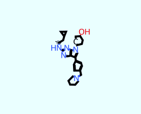 C[C@H](CC1CC1)Nc1ncc2c(-c3ccc(CN4CCCCC4)cc3)cn([C@H]3CC[C@H](O)CC3)c2n1